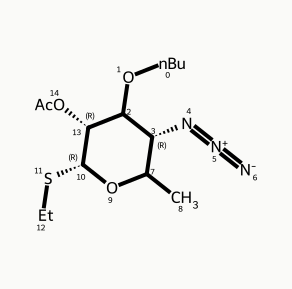 CCCCOC1[C@H](N=[N+]=[N-])C(C)O[C@H](SCC)[C@@H]1OC(C)=O